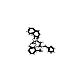 C[C@H](NP(=O)(Oc1c(I)cccc1C#N)Oc1cccc2ccccc12)C(=O)OCc1ccccc1